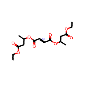 CCOC(=O)CC(C)OC(=O)/C=C/C(=O)OC(C)CC(=O)OCC